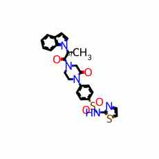 C[C@@H](C(=O)N1CCN(c2ccc(S(=O)(=O)Nc3nccs3)cc2)C(=O)C1)n1ccc2ccccc21